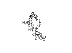 CNC(=O)COc1cc2cc(Nc3nc(N4CCC(OC5CC(N6CCC(c7cccc8c7C(=O)N([C@@H]7CCC(=O)NC7=O)C8=O)CC6)C5)CC4)ncc3Cl)ccc2n(C)c1=O